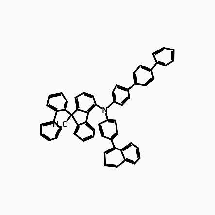 CC1(c2ccccc2-c2ccccc2)c2ccccc2-c2c(N(c3ccc(-c4ccc(-c5ccccc5)cc4)cc3)c3ccc(-c4cccc5ccccc45)cc3)cccc21